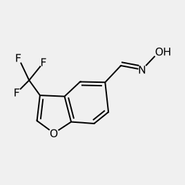 O/N=C/c1ccc2occ(C(F)(F)F)c2c1